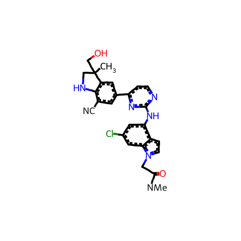 CNC(=O)Cn1ccc2c(Nc3nccc(-c4cc(C#N)c5c(c4)C(C)(CO)CN5)n3)cc(Cl)cc21